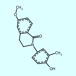 COc1ccc2c(c1)CCN(c1ccc(O)c(C)c1)C2=O